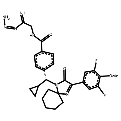 COc1c(F)cc(C2=NC3(CCCCC3)N([C@@H](c3ccc(C(=O)NCC(=N)/N=N\N)cc3)C3CC3)C2=O)cc1F